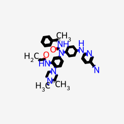 C=CC(=O)Nc1cc(N(C(=O)N[C@H](C)c2ccccc2)C2CCC(Nc3ccc(C#N)cn3)CC2)ccc1N1CCN(C)[C@@H](C)C1